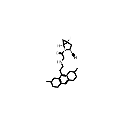 CC1CCc2cc3c(c(CCNCC(=O)N4[C@H](C#N)C[C@@H]5C[C@@H]54)c2C1)CC(C)CC3